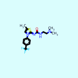 Cc1cn(-c2ccc(C(F)(F)F)cc2)/c(=N/C(=O)NCCN(C)C)s1